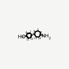 N[C@@H]1CCC[C@@H](c2ccc(O)cc2)CC1